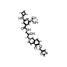 CCCN(C)c1cc(C(=O)NC[C@H](O)CN2CCc3c(ccc(OCc4cnco4)c3Cl)C2)cc(NC2CCC2)n1